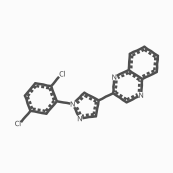 Clc1ccc(Cl)c(-n2cc(-c3cnc4ccccc4n3)cn2)c1